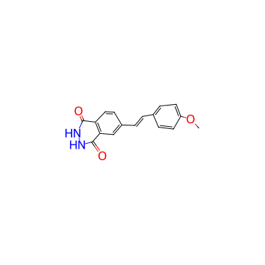 COc1ccc(/C=C/c2ccc3c(=O)[nH][nH]c(=O)c3c2)cc1